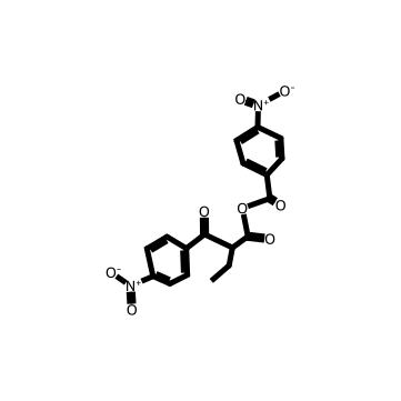 CCC(C(=O)OC(=O)c1ccc([N+](=O)[O-])cc1)C(=O)c1ccc([N+](=O)[O-])cc1